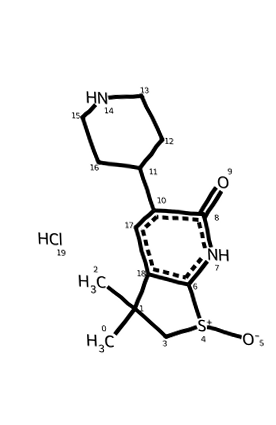 CC1(C)C[S+]([O-])c2[nH]c(=O)c(C3CCNCC3)cc21.Cl